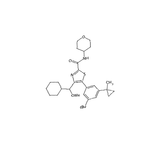 COC(c1nc(C(=O)NC2CCOCC2)sc1-c1cc(C(C)(C)C)cc(C2(C)CC2)c1)C1CCCCC1